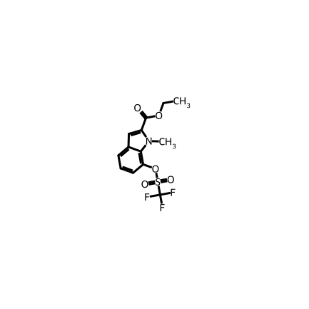 CCOC(=O)c1cc2cccc(OS(=O)(=O)C(F)(F)F)c2n1C